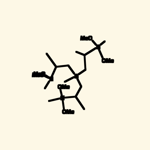 CO[Si](C)(OC)C(C)C[Si](C)(CC(C)[Si](C)(OC)OC)CC(C)[Si](C)(OC)OC